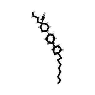 CCCCCCCCc1ccc(-c2ccc([C@H]3CC[C@@](C#N)(CCCC)CC3)cc2)cc1